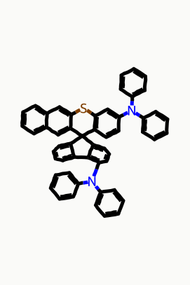 c1ccc(N(c2ccccc2)c2ccc3c(c2)Sc2cc4ccccc4cc2C32c3ccccc3-c3c(N(c4ccccc4)c4ccccc4)cccc32)cc1